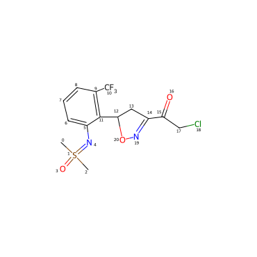 CS(C)(=O)=Nc1cccc(C(F)(F)F)c1C1CC(C(=O)CCl)=NO1